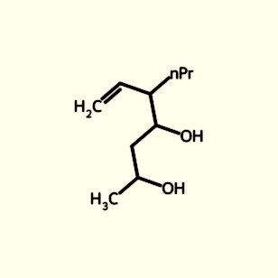 C=CC(CCC)C(O)CC(C)O